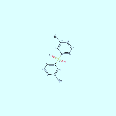 CCC(C)c1cccc(S(=O)(=O)c2cccc(C(C)CC)c2)c1